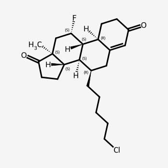 C[C@]12C[C@H](F)[C@H]3[C@@H]([C@H](CCCCCCl)CC4=CC(=O)CC[C@@H]43)[C@@H]1CCC2=O